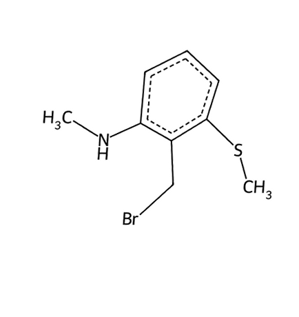 CNc1cccc(SC)c1CBr